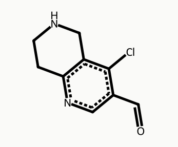 O=Cc1cnc2c(c1Cl)CNCC2